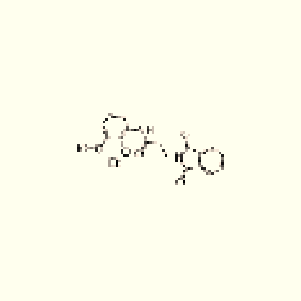 CCOc1cccc(NC(=O)CCN2C(=O)c3ccccc3C2=O)c1OCC